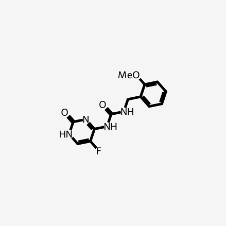 COc1ccccc1CNC(=O)Nc1nc(=O)[nH]cc1F